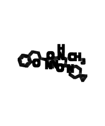 C[C@@H](Nc1nnc([C@@H]2CCc3ccccc3O2)o1)C(=O)N1CCC2(CC1)CC2